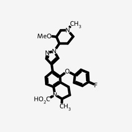 COC1CN(C)CCC1n1cc(-c2ccc3c(c2Oc2ccc(F)cc2)CCC(C)N3C(=O)O)cn1